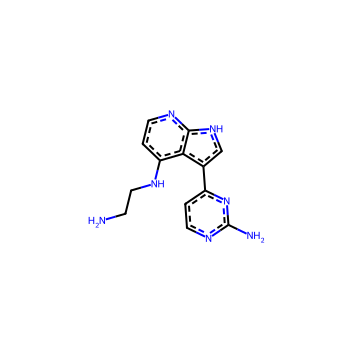 NCCNc1ccnc2[nH]cc(-c3ccnc(N)n3)c12